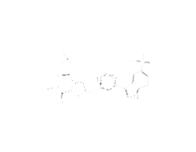 CCOC(=O)C1CC(Oc2cc(C3=CN=C4CC=C(S(C)(=O)=O)C=C34)ncn2)CN1C(=O)OC(C)(C)C